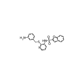 Nc1cccc(CSc2ncccc2NS(=O)(=O)c2cc3ccccc3o2)c1